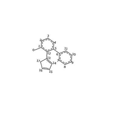 Cc1cccc(-c2ccccc2)c1C1=CC=CC1